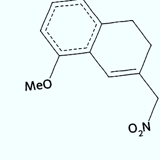 COc1cccc2c1C=C(C[N+](=O)[O-])CC2